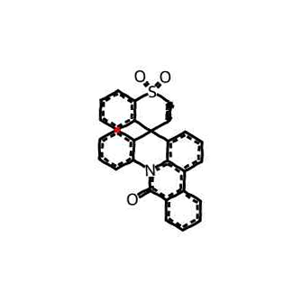 O=c1c2ccccc2c2cccc3c2n1-c1ccccc1C31c2ccccc2S(=O)(=O)c2ccccc21